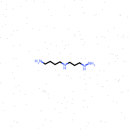 NCCCCNCCCNN